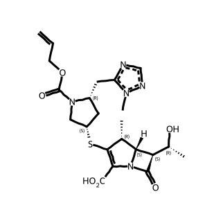 C=CCOC(=O)N1C[C@@H](SC2=C(C(=O)O)N3C(=O)[C@H]([C@@H](C)O)[C@H]3[C@H]2C)C[C@H]1Cc1ncnn1C